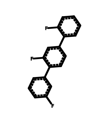 Fc1cccc(-c2ccc(-c3ccccc3F)cc2F)c1